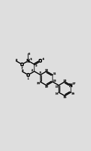 COC(C(=O)N(C)OC)c1ccc(-c2cccnc2)cc1